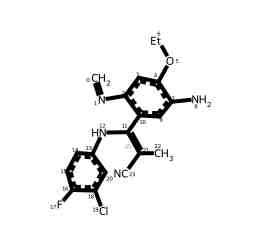 C=Nc1cc(OCC)c(N)cc1/C(Nc1ccc(F)c(Cl)c1)=C(\C)C#N